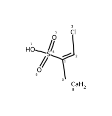 CC(=CCl)S(=O)(=O)O.[CaH2]